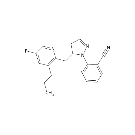 CCCc1cc(F)cnc1CC1CC=NN1c1ncccc1C#N